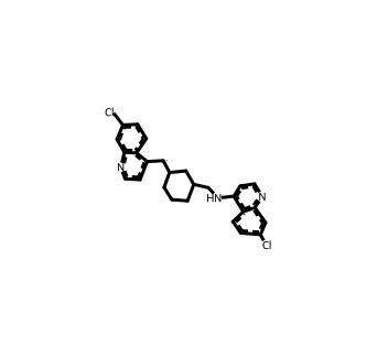 Clc1ccc2c([CH]C3CCCC(CNc4ccnc5cc(Cl)ccc45)C3)ccnc2c1